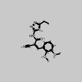 CCc1nnc(NC(=O)C(C#N)=Cc2cccc(OC)c2OC)s1